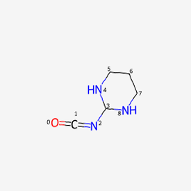 O=C=NC1NCCCN1